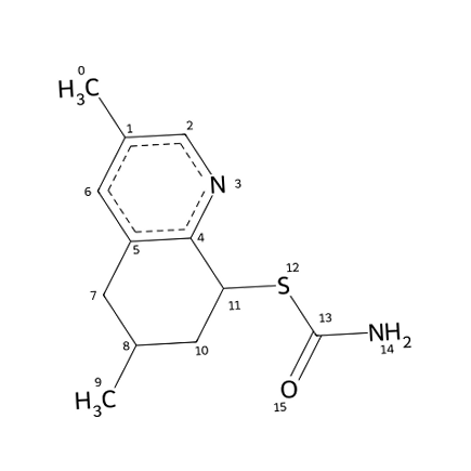 Cc1cnc2c(c1)CC(C)CC2SC(N)=O